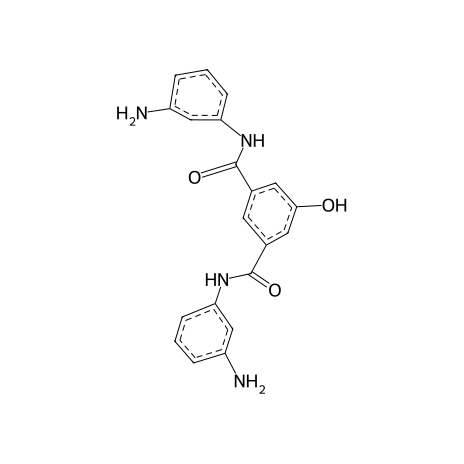 Nc1cccc(NC(=O)c2cc(O)cc(C(=O)Nc3cccc(N)c3)c2)c1